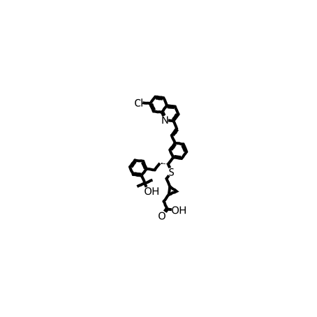 CC(C)(O)c1ccccc1CC[C@@H](SCC1CC1CC(=O)O)c1cccc(C=Cc2ccc3ccc(Cl)cc3n2)c1